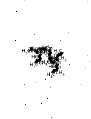 C/C=C\CC(C)(C)C(O)CN(CC(O)CC(C)/C=C\C)C(C)(C)CC(C)(C)CSC(=O)CC(=O)SCC(C)(C)CC(C)(C)N(CC(O)CC(C)/C=C\C)CC(O)N/C=C\C